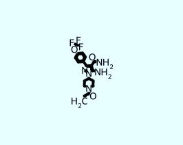 C=CC(=O)N1CCC(n2nc(-c3ccc(OC(F)(F)F)cc3)c(C(N)=O)c2N)CC1